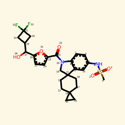 CS(=O)(=O)Nc1ccc2c(c1)C1(CCC3(CC3)CC1)CN2C(=O)c1ccc(C(O)C2CC(F)(F)C2)o1